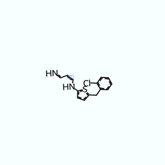 N=C/C=C\Nc1ccc(Cc2ccccc2Cl)s1